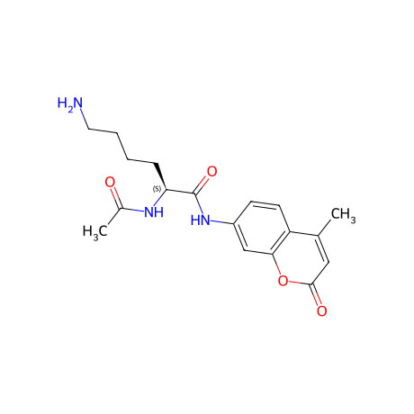 CC(=O)N[C@@H](CCCCN)C(=O)Nc1ccc2c(C)cc(=O)oc2c1